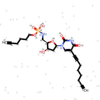 C#CCCCCC#Cc1cn([C@H]2C[C@@H](O)[C@@H](CNP(=O)(O)OCCCCC#C)O2)c(=O)[nH]c1=O